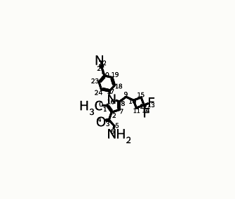 Cc1c(C(=O)CN)cc(CC2CC(F)(F)C2)n1-c1ccc(C#N)cc1